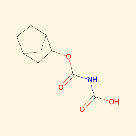 O=C(O)NC(=O)OC1CC2CCC1C2